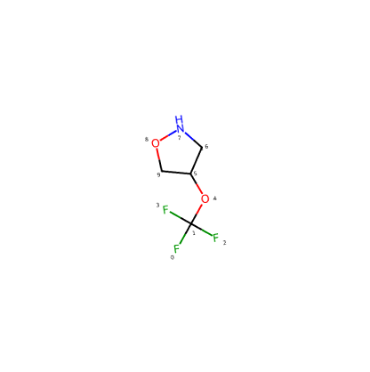 FC(F)(F)OC1[CH]NOC1